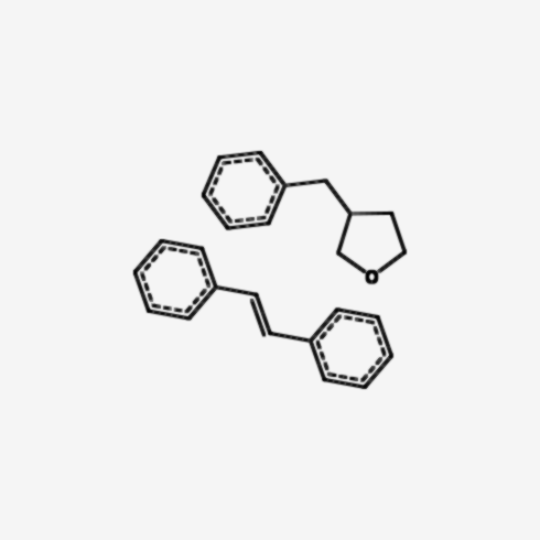 C(=Cc1ccccc1)c1ccccc1.c1ccc(CC2CCOC2)cc1